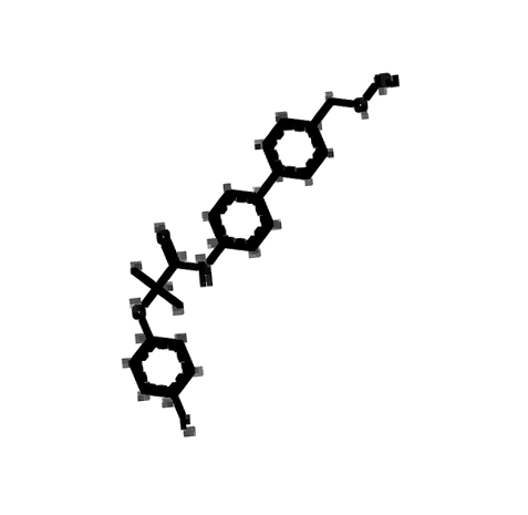 CC(C)(C)OCc1ccc(-c2ccc(NC(=O)C(C)(C)Oc3ccc(F)cc3)cc2)cc1